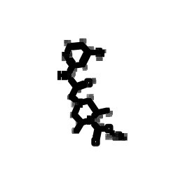 CC1CN(CC(=O)Nc2cc(Br)ccn2)CC(C)N1C(=O)OC(C)(C)C